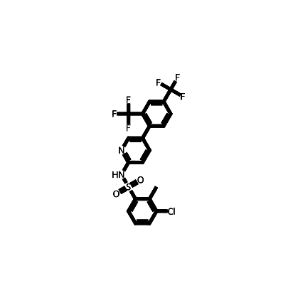 Cc1c(Cl)cccc1S(=O)(=O)Nc1ccc(-c2ccc(C(F)(F)F)cc2C(F)(F)F)cn1